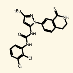 CC(C)(C)c1cc(NC(=O)Nc2cccc(Cl)c2Cl)n(-c2ccc3c(c2)C(=S)NCC3)n1